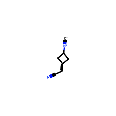 [C-]#[N+]C1CC(=CC#N)C1